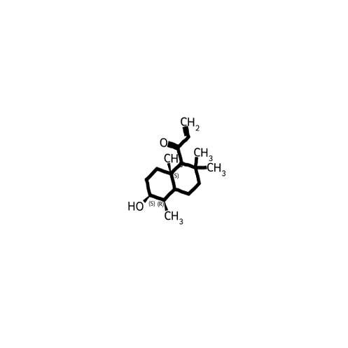 C=CC(=O)C1C(C)(C)CCC2[C@@H](C)[C@@H](O)CC[C@@]21C